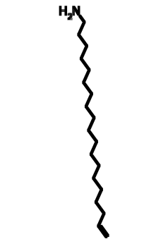 C=CCCCCCCCCCCCCCCCCCN